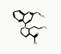 CCCC1C(C(=O)O)CCCN1c1cc(OC)nc2ccccc12